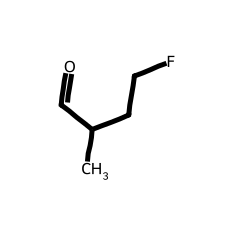 CC(C=O)CCF